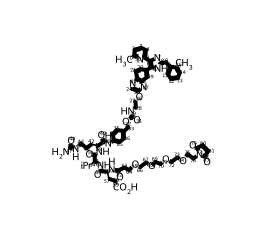 Cc1cccc(-c2nc(Cc3ccccc3C)[nH]c2-c2ccc3ncc(OCCNC(=O)OCc4ccc(NC(=O)[C@H](CCCNC(N)=O)NC(=O)[C@@H](NC(=O)[C@H](CCC(=O)O)NC(=O)CCOCCOCCOCCOCCN5C(=O)C=CC5=O)C(C)C)cc4)nc3c2)n1